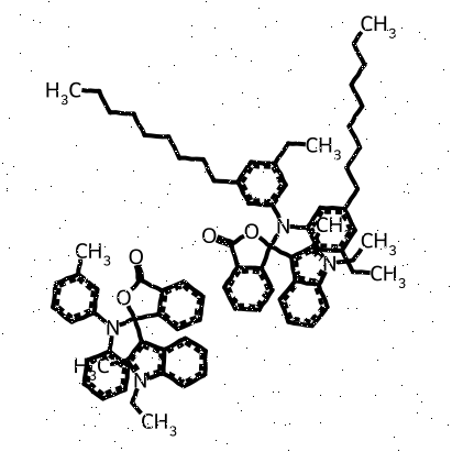 CCCCCCCCCc1cc(CC)cc(N(c2cc(CC)cc(CCCCCCCCC)c2)C2(c3c(C)n(CC)c4ccccc34)OC(=O)c3ccccc32)c1.CCn1c(C)c(C2(N(c3ccccc3)c3cccc(C)c3)OC(=O)c3ccccc32)c2ccccc21